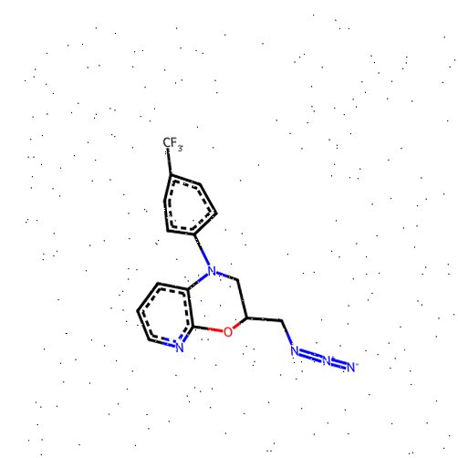 [N-]=[N+]=NCC1CN(c2ccc(C(F)(F)F)cc2)c2cccnc2O1